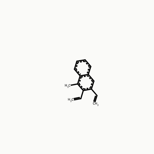 C=Cc1cc2ccccc2c(C)c1C=C